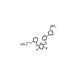 NCc1cccc(-c2cccc(Oc3nc(Oc4ccccc4CCC(=O)O)c(F)cc3F)c2)c1